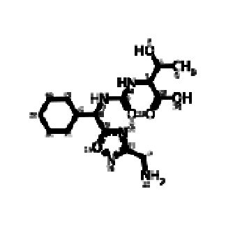 CC(O)C(NC(=O)NC(c1nc(CN)no1)C1CCCCC1)C(=O)O